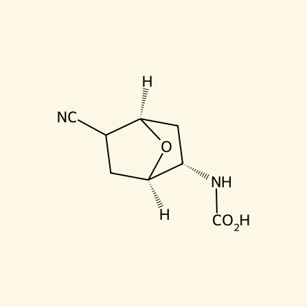 N#CC1C[C@H]2O[C@@H]1C[C@@H]2NC(=O)O